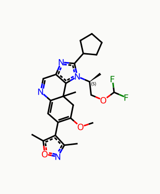 COC1=C(c2c(C)noc2C)C=C2N=Cc3nc(C4CCCC4)n([C@@H](C)COC(F)F)c3C2(C)C1